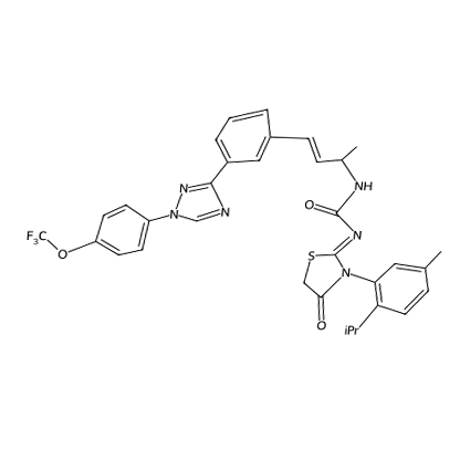 Cc1ccc(C(C)C)c(N2C(=O)CS/C2=N\C(=O)NC(C)/C=C/c2cccc(-c3ncn(-c4ccc(OC(F)(F)F)cc4)n3)c2)c1